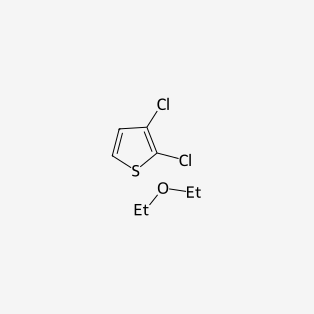 CCOCC.Clc1ccsc1Cl